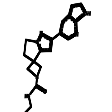 CCNC(=O)N1CC2(CCn3nc(-c4cnc5[nH]ccc5c4)cc32)C1